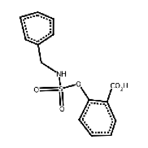 O=C(O)c1ccccc1OS(=O)(=O)NCc1ccccc1